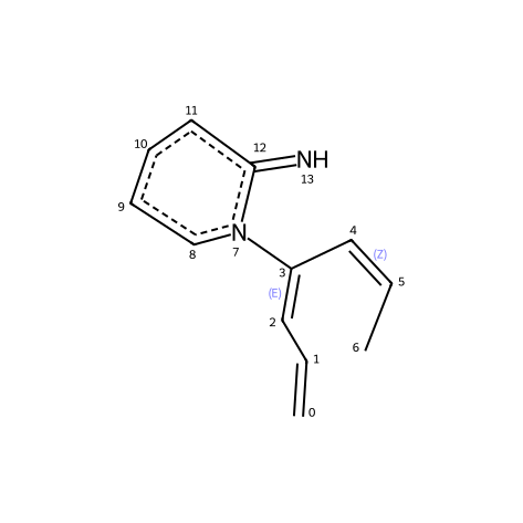 C=C/C=C(\C=C/C)n1ccccc1=N